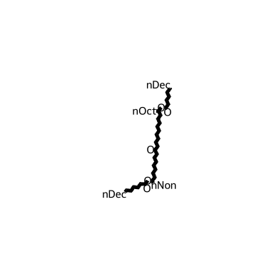 CCCCCCCCCCCCCCCC(=O)OC(CCCCCCCC)CCCCCCCCCC(=O)CCCCCCCC(CCCCCCCCC)OC(=O)CCCCCCCCCCCCCCC